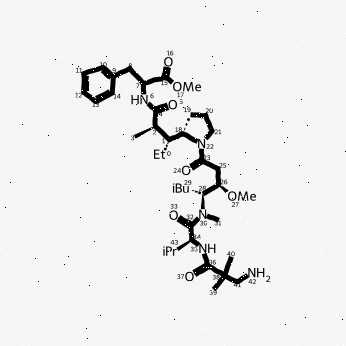 CC[C@H]([C@@H](C)C(=O)NC(Cc1ccccc1)C(=O)OC)[C@@H]1CCCN1C(=O)C[C@@H](OC)[C@H]([C@@H](C)CC)N(C)C(=O)[C@@H](NC(=O)C(C)(C)CN)C(C)C